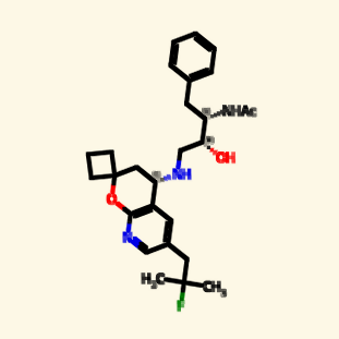 CC(=O)N[C@@H](Cc1ccccc1)[C@H](O)CN[C@H]1CC2(CCC2)Oc2ncc(CC(C)(C)F)cc21